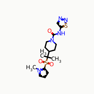 Cn1cccc1S(=O)(=O)C(C)(C)C1CCN(C(=O)Nc2cnns2)CC1